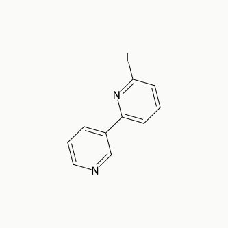 Ic1cccc(-c2cccnc2)n1